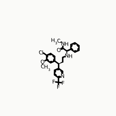 CNC(=O)[C@H](NCC[C@@H](c1ccc(C(F)(F)F)nc1)c1ccc(Cl)c(OC)c1)c1ccccc1